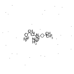 CC(C)[C@H]1CC[C@@H](c2nc(-c3ccc([C@H](C)c4cccc(C(F)(F)F)c4)cc3)c3c(N)nccn32)CC1